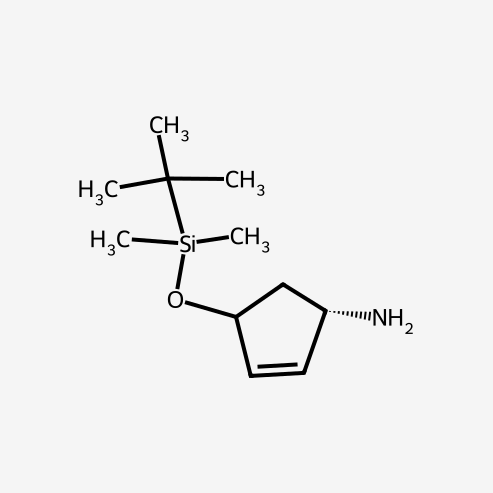 CC(C)(C)[Si](C)(C)OC1C=C[C@@H](N)C1